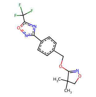 CC1(C)CON=C1OCc1ccc(-c2noc(C(F)(F)F)n2)cc1